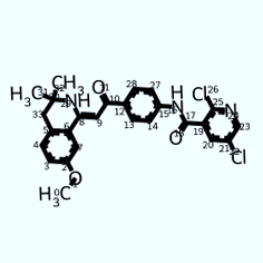 COc1ccc2c(c1)C(=CC(=O)c1ccc(NC(=O)c3cc(Cl)cnc3Cl)cc1)NC(C)(C)C2